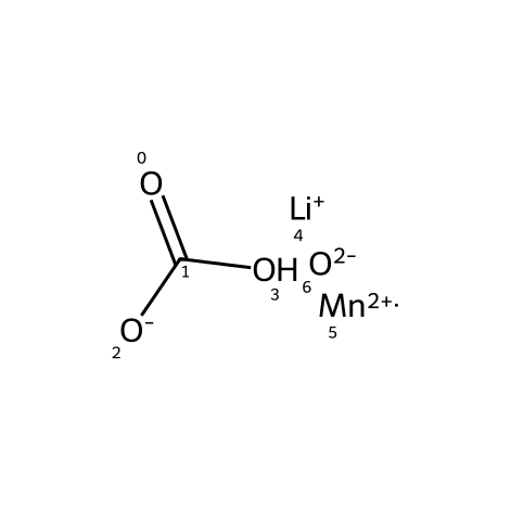 O=C([O-])O.[Li+].[Mn+2].[O-2]